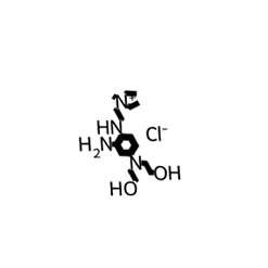 CC[N+](C)(CC)CCNc1ccc(N(CCO)CCO)cc1N.[Cl-]